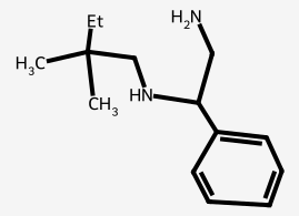 CCC(C)(C)CNC(CN)c1ccccc1